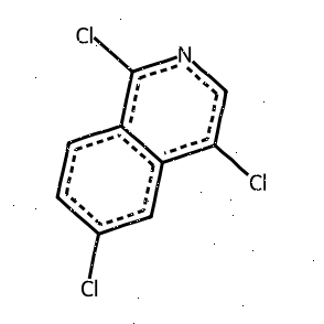 Clc1ccc2c(Cl)ncc(Cl)c2c1